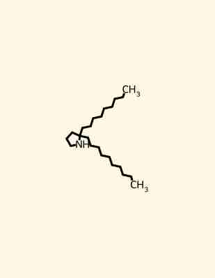 CCCCCCCCCCC1(CCCCCCCCC)CCCN1